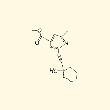 COC(=O)c1cc(C)nc(C#CC2(O)CCCCC2)c1